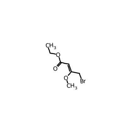 CCOC(=O)/C=C(/CBr)OC